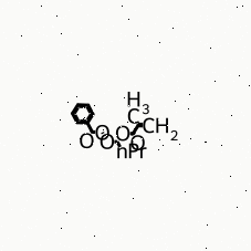 C=C(C)C(=O)OC(CCC)OOC(=O)c1ccccc1